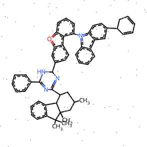 CC1CC(C2=NC(c3ccc4c(c3)oc3cccc(-n5c6ccccc6c6cc(C7C=CC=CC7)ccc65)c34)NC(c3ccccc3)=N2)C2c3ccccc3C(C)(C)C2(C)C1